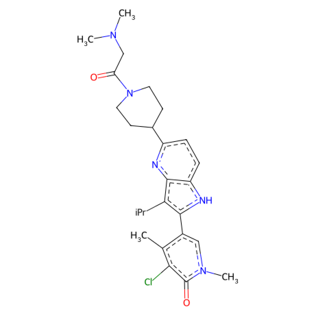 Cc1c(-c2[nH]c3ccc(C4CCN(C(=O)CN(C)C)CC4)nc3c2C(C)C)cn(C)c(=O)c1Cl